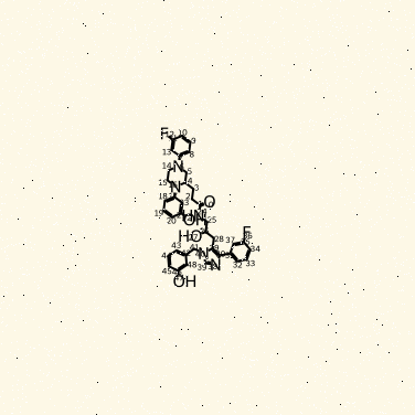 O=C(CCC1CN(c2cccc(F)c2)CCN1c1cccc(O)c1)NCC(O)Cc1c(-c2cccc(F)c2)ncn1Cc1cccc(O)c1